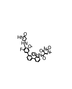 COc1cc(-c2cccc(-c3cccc(NC(=O)c4cn(C)c(=O)n(C)c4=O)c3Cl)c2Cl)cc(F)c1CN[C@@H]1CNC(=O)C1